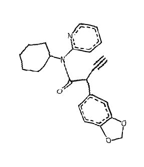 C#CC(C(=O)N(c1ccccn1)C1CCCCC1)c1ccc2c(c1)OCO2